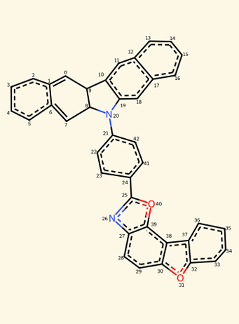 C1=c2ccccc2=CC2C1c1cc3ccccc3cc1N2c1ccc(-c2nc3ccc4oc5ccccc5c4c3o2)cc1